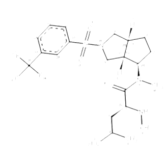 CN[C@@H](CC(C)C)C(=O)N(C)[C@@H]1CC[C@H]2CN(S(=O)(=O)c3cccc(C(F)(F)F)c3)C[C@H]21